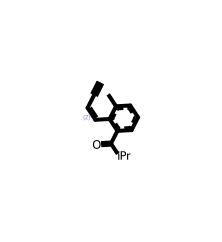 C#C/C=C\c1c(C)cccc1C(=O)C(C)C